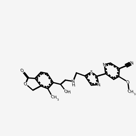 COc1cc(-c2ncc(CNCC(O)c3ccc4c(c3C)COC4=O)s2)ncc1C#N